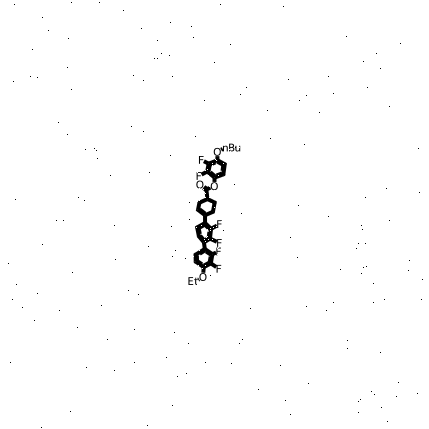 CCCCOc1ccc(OC(=O)C2CC=C(c3ccc(-c4ccc(OCC)c(F)c4F)c(F)c3F)CC2)c(F)c1F